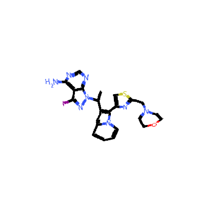 CC(c1cc2ccccn2c1-c1csc(CN2CCOCC2)n1)n1nc(I)c2c(N)ncnc21